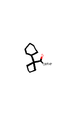 COC(=O)C1(C2CCCCC2)CCC1